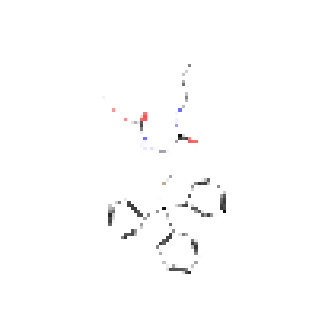 CC(C)(C)OC(=O)N[C@@H](CSC(c1ccccc1)(c1ccccc1)c1ccccc1)C(=O)NCCC#N